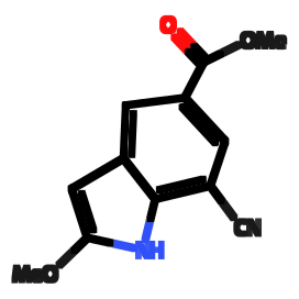 COC(=O)c1cc(C#N)c2[nH]c(OC)cc2c1